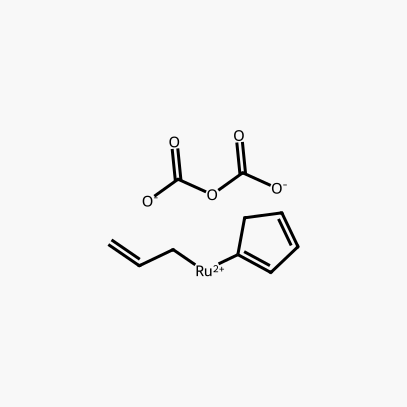 C=C[CH2][Ru+2][C]1=CC=CC1.O=C([O-])OC(=O)[O-]